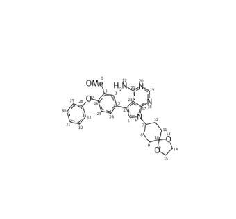 COc1cc(-c2cn(C3CCC4(CC3)OCCO4)c3ncnc(N)c23)ccc1Oc1ccccc1